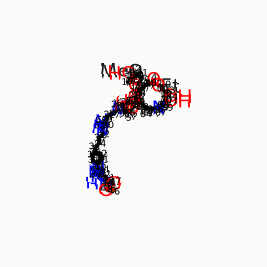 CC[C@H]1OC(=O)[C@H](C)[C@@H](C2C[C@@](C)(OC)[C@@H](O)[C@H](C)O2)[C@H](C)[C@@H](O[C@H]2C[C@@H](N(C)CCc3cn(CCCCc4ccc(-n5cc(CNS(C)(=O)=O)nn5)cc4)nn3)C[C@@H](C)O2)[C@](C)(O)C[C@@H](C)CN(C)[C@H](C)[C@@H](O)[C@]1(C)O